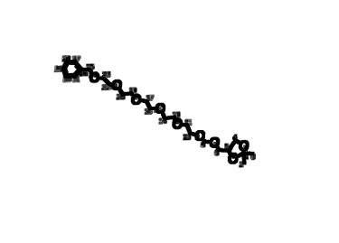 CC1(C)OCC(COCOCCOCCOCCOCCOCCOCc2ccccc2)O1